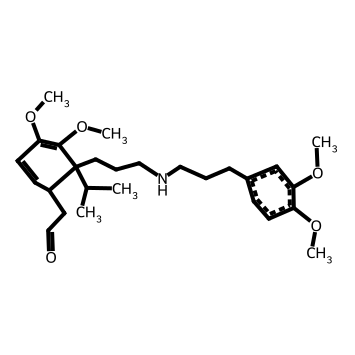 COC1=C(OC)C(CCCNCCCc2ccc(OC)c(OC)c2)(C(C)C)C(CC=O)C=C1